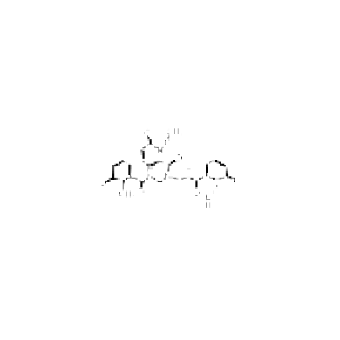 COn1c(C(=O)NCN(CNC(=O)C2=CC=CC(=O)C2C)C(=O)c2cccc(=O)n2OC)cccc1=O